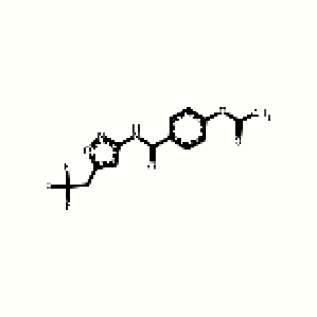 CC(=O)Oc1ccc(C(=O)Nc2cc(CC(F)(F)F)on2)cc1